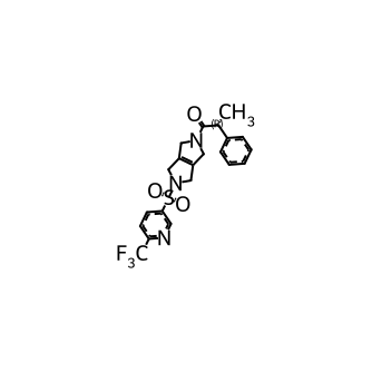 C[C@@H](C(=O)N1CC2=C(C1)CN(S(=O)(=O)c1ccc(C(F)(F)F)nc1)C2)c1ccccc1